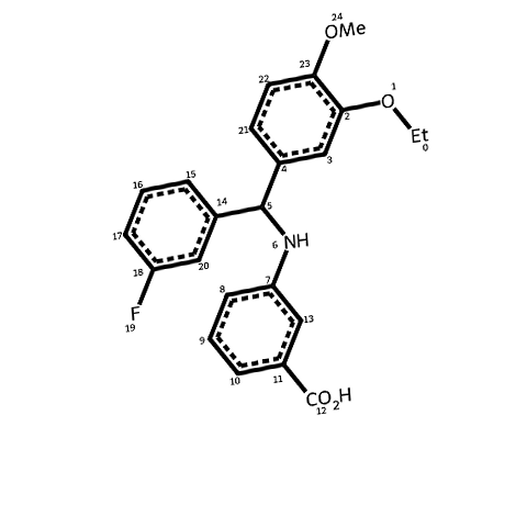 CCOc1cc(C(Nc2cccc(C(=O)O)c2)c2cccc(F)c2)ccc1OC